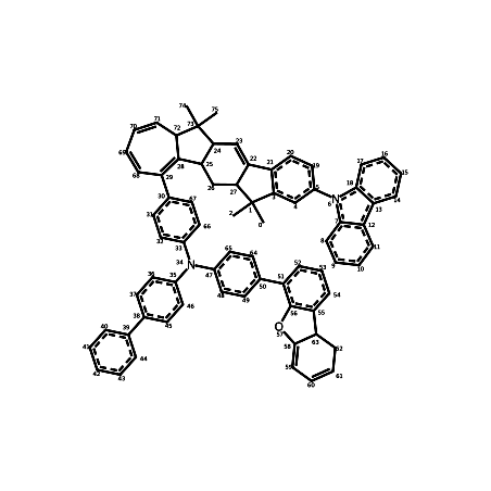 CC1(C)c2cc(-n3c4ccccc4c4ccccc43)ccc2C2=CC3C(CC21)C1=C(c2ccc(N(c4ccc(-c5ccccc5)cc4)c4ccc(-c5cccc6c5OC5=CC=CCC56)cc4)cc2)C=CC=CC1C3(C)C